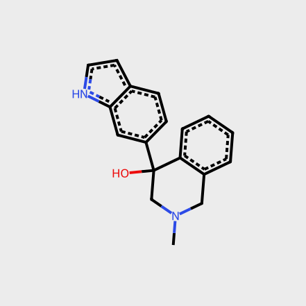 CN1Cc2ccccc2C(O)(c2ccc3cc[nH]c3c2)C1